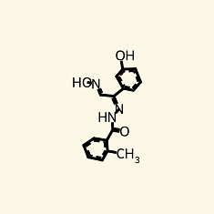 Cc1ccccc1C(=O)NN=C(C=NO)c1cccc(O)c1